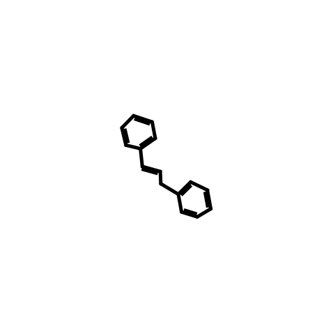 [c]1cccc(C/C=C/c2ccccc2)c1